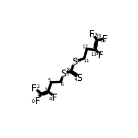 FC(F)=C(F)CCSC(=S)SCCC(F)=C(F)F